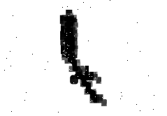 NCCCC[C@H](N)C(=O)NCCCC(F)(F)C(F)(F)C(F)(F)C(F)(F)C(F)(F)C(F)(F)C(F)(F)C(F)(F)F